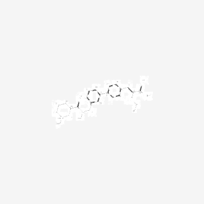 CCOC(=Cc1ccc(-c2cccc(CN(C)C(=O)C3CCCN(C)C3)c2)cc1)C(=O)O